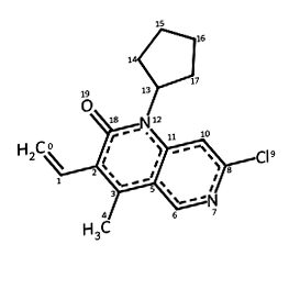 C=Cc1c(C)c2cnc(Cl)cc2n(C2CCCC2)c1=O